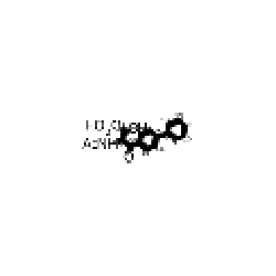 CC(=O)NC(C(=O)c1ccc(-c2ccccc2)cc1)C(O)C(=O)O